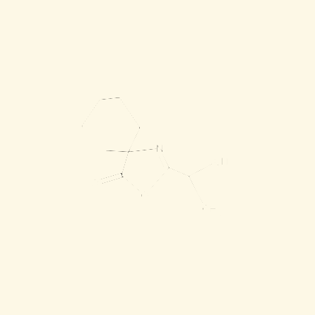 CC(C)C1=NC2(CCCCC2)C(=O)O1